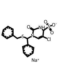 O=C1NC(S(=O)(=O)[O-])C(Cl)=CN1C(SCc1ccccc1)c1ccccc1.[Na+]